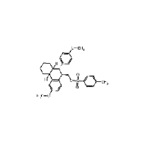 COc1ccc([C@H]2[C@H]3CCCC[C@H]3c3cc(OC)ccc3[C@@H]2COS(=O)(=O)c2ccc(C)cc2)cc1